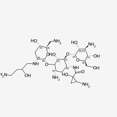 NCCC(O)CN[C@@H]1C[C@H](O)[C@@H](CN)O[C@@H]1OC1[C@@H](N)C[C@@H](NC(=O)C2(O)CC2N)[C@H](O[C@H]2O[C@H](CO)[C@@H](O)[C@H](N)[C@H]2O)[C@H]1O